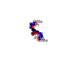 COC(=O)N[C@H](C(=O)N1CCCC1C1=NC(c2ccc3c(c2)cc2n3C(c3ccccc3)Oc3cc(-c4cnc(C5CCCN5C(=O)[C@@H](NC(=O)OC)C(C)C)[nH]4)ccc3-2)C=N1)C(C)C